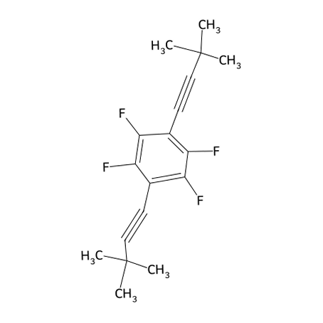 CC(C)(C)C#Cc1c(F)c(F)c(C#CC(C)(C)C)c(F)c1F